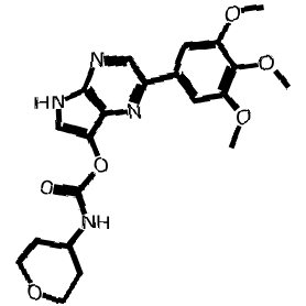 COc1cc(-c2cnc3[nH]cc(OC(=O)NC4CCOCC4)c3n2)cc(OC)c1OC